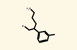 Cc1cccc(C(CCCN)CC(C)C)c1